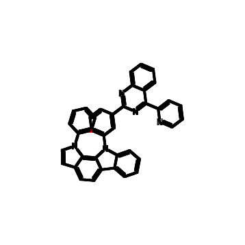 c1ccc(-n2ccc3ccc4c5ccccc5n(-c5cccc(-c6nc(-c7ccccn7)c7ccccc7n6)c5)c4c32)cc1